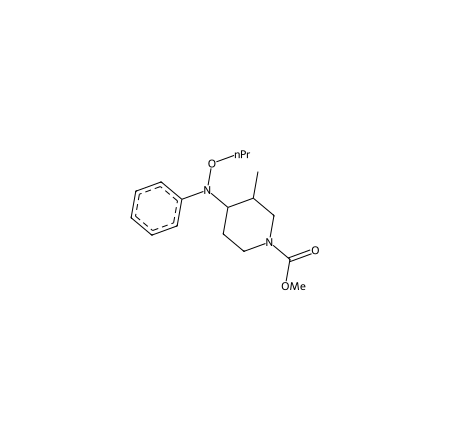 CCCON(c1ccccc1)C1CCN(C(=O)OC)CC1C